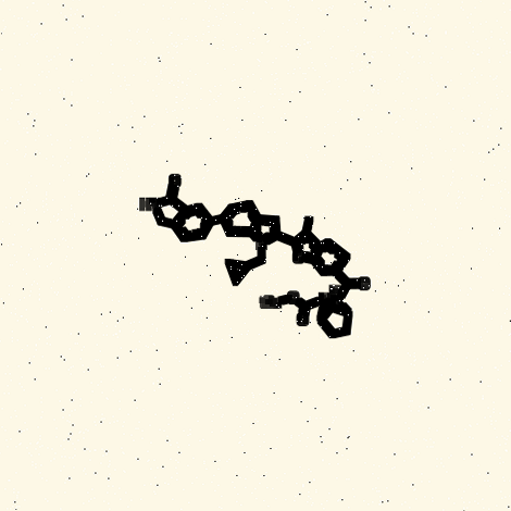 Cc1c(-c2cc3ccc(-c4ccc5c(c4)C(=O)NC5)cc3n2CC2CC2)oc2cc(C(=O)N3CC4CCC3[C@@H]4NC(=O)OC(C)(C)C)ccc12